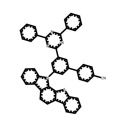 N#Cc1ccc(-c2cc(-c3nc(-c4ccccc4)nc(-c4ccccc4)n3)cc(-n3c4ccccc4c4ccc5c6ccccc6sc5c43)c2)cc1